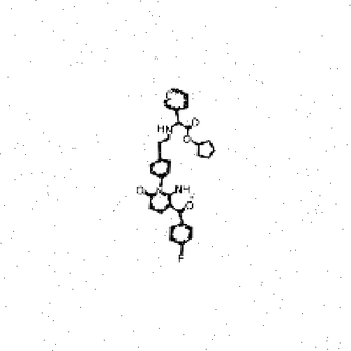 Nc1c(C(=O)c2ccc(F)cc2)ccc(=O)n1-c1ccc(CCNC(C(=O)OC2CCCC2)c2ccccc2)cc1